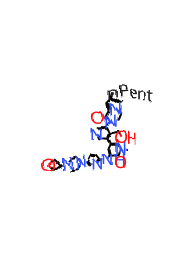 CCCCCc1cc2n(c1)CCN(c1cncc(-c3cc(Nc4ccc(N5CCN(C6COC6)CC5)cn4)c(=O)n(C)c3)c1CO)C2=O